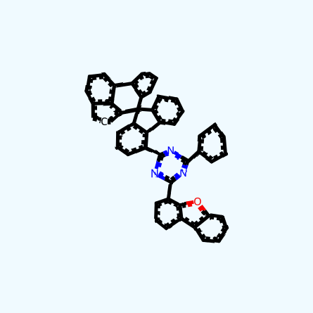 c1ccc(-c2nc(-c3cccc4c3-c3ccccc3C43c4ccccc4-c4cccc5cccc3c45)nc(-c3cccc4c3oc3ccccc34)n2)cc1